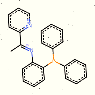 C/C(=N\c1ccccc1P(c1ccccc1)c1ccccc1)c1ccccn1